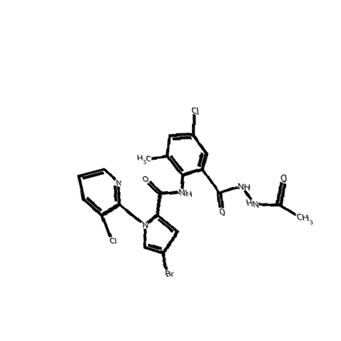 CC(=O)NNC(=O)c1cc(Cl)cc(C)c1NC(=O)c1cc(Br)cn1-c1ncccc1Cl